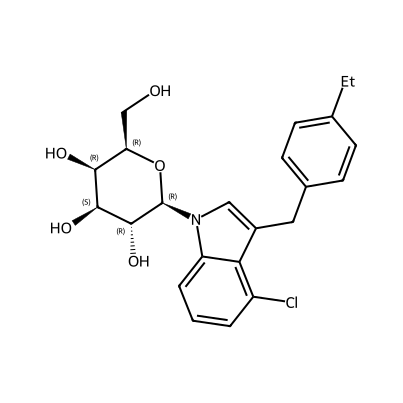 CCc1ccc(Cc2cn([C@@H]3O[C@H](CO)[C@H](O)[C@H](O)[C@H]3O)c3cccc(Cl)c23)cc1